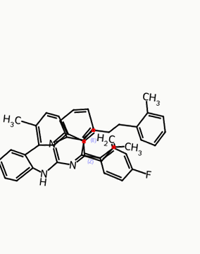 C=C(C)/C=C\C(=C/CCc1ccccc1C)c1ccc(C)c(-c2ccccc2Nc2nc(-c3ccc(F)cc3)c3ccccc3n2)c1